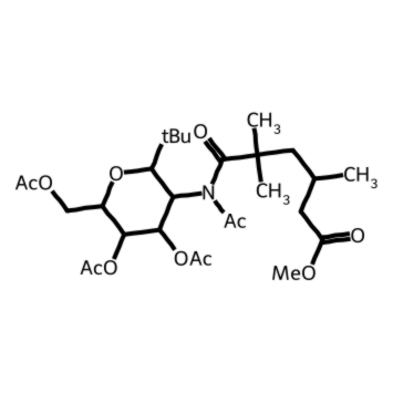 COC(=O)CC(C)CC(C)(C)C(=O)N(C(C)=O)C1C(OC(C)=O)C(OC(C)=O)C(COC(C)=O)OC1C(C)(C)C